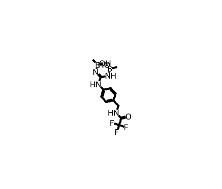 CB(O)/N=C(\NB(C)O)Nc1ccc(CNC(=O)C(F)(F)F)cc1